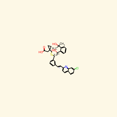 CC(C)(O)c1ccccc1[C@H](O)C[C@@H](SCC1(CC(=O)O)CC1)c1cccc(/C=C/c2ccc3ccc(Cl)cc3n2)c1